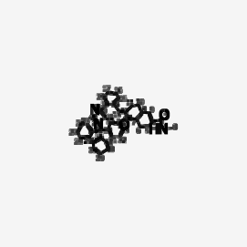 CNC(=O)c1ccc2c(c1)CC/C(=C\c1ccccc1-c1cn(C(c3ccccc3)(c3ccccc3)c3ccccc3)cn1)C2=O